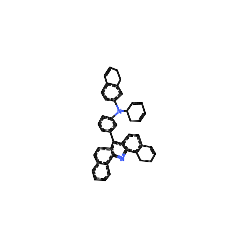 C1=CCC(N(c2cccc(-c3c4ccc5c(c4nc4c3ccc3ccccc34)CCC=C5)c2)c2ccc3c(c2)CCC=C3)C=C1